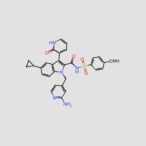 COc1ccc(S(=O)(=O)NC(=O)c2c(-c3ccc[nH]c3=O)c3cc(C4CC4)ccc3n2Cc2ccnc(N)c2)cc1